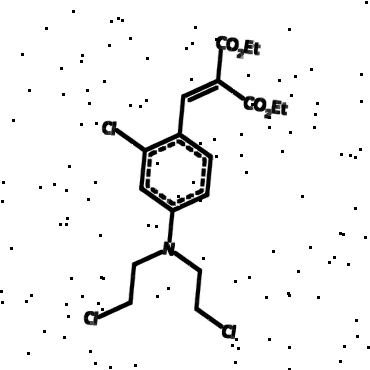 CCOC(=O)C(=Cc1ccc(N(CCCl)CCCl)cc1Cl)C(=O)OCC